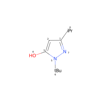 CC(C)c1cc(O)n(C(C)(C)C)n1